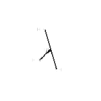 CCCCCCCCCCCCCCCCCCC(CCCCCCCCCCCCCCCCCC)NC(=O)OCCOCCOCCOC